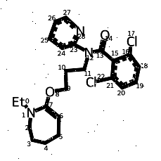 [CH2]CN1CCCCC=C1OCCCN(C(=O)c1c(Cl)cccc1Cl)c1ccccn1